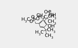 COP(=O)(Cc1cc(C(C)(C)C)c(O)c(C(C)(C)C)c1)OC.O=PO